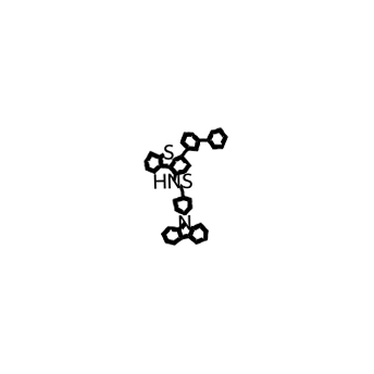 c1ccc(-c2cccc(-c3cc4c(c5c3sc3ccccc35)NC(c3ccc(-n5c6ccccc6c6ccccc65)cc3)S4)c2)cc1